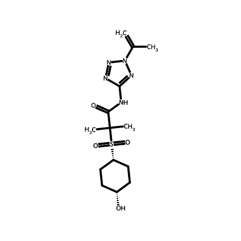 C=C(C)n1nnc(NC(=O)C(C)(C)S(=O)(=O)[C@H]2CC[C@@H](O)CC2)n1